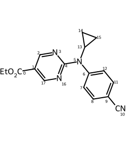 CCOC(=O)c1cnc(N(c2ccc(C#N)cc2)C2CC2)nc1